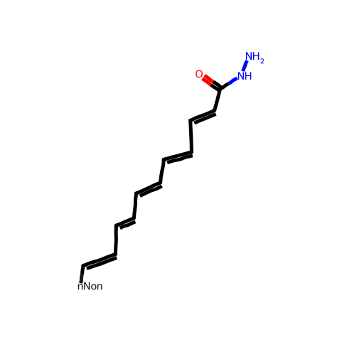 CCCCCCCCCC=CC=CC=CC=CC=CC(=O)NN